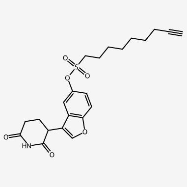 C#CCCCCCCCS(=O)(=O)Oc1ccc2occ(C3CCC(=O)NC3=O)c2c1